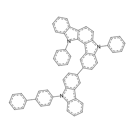 c1ccc(-c2ccc(-n3c4ccccc4c4cc(-c5ccc6c(c5)c5c(ccc7c8ccccc8n(-c8ccccc8)c75)n6-c5ccccc5)ccc43)cc2)cc1